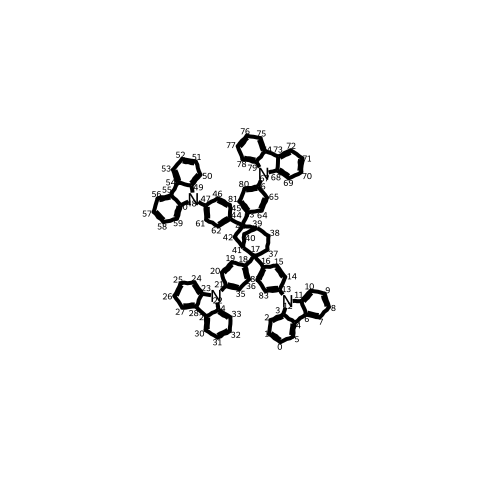 c1ccc2c(c1)c1ccccc1n2-c1ccc(C2(c3ccc(-n4c5ccccc5c5ccccc54)cc3)CCC3CC2CC3(c2ccc(-n3c4ccccc4c4ccccc43)cc2)c2ccc(-n3c4ccccc4c4ccccc43)cc2)cc1